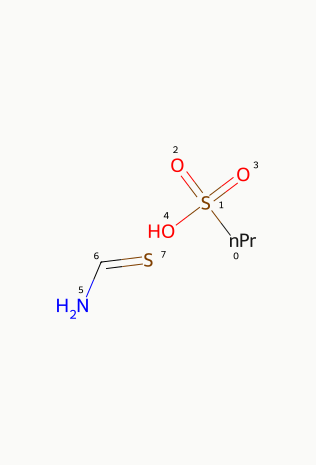 CCCS(=O)(=O)O.NC=S